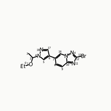 CCOC(C)n1cc(-c2ccc3nc(Br)nn3c2)cn1